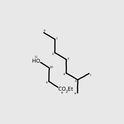 CCCCCC(C)C.CCOC(=O)CCO